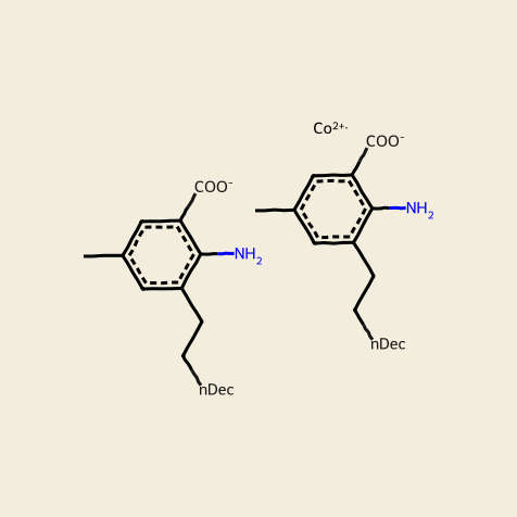 CCCCCCCCCCCCc1cc(C)cc(C(=O)[O-])c1N.CCCCCCCCCCCCc1cc(C)cc(C(=O)[O-])c1N.[Co+2]